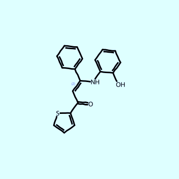 O=C(/C=C(\Nc1ccccc1O)c1ccccc1)c1cccs1